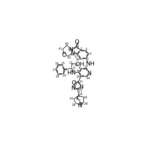 O=c1c2ccc(Nc3cc(N[C@H](CO)c4ccccc4)c(-c4nc(C56CCN(CC5)CC6)no4)cn3)cc2n2n1CCOC2